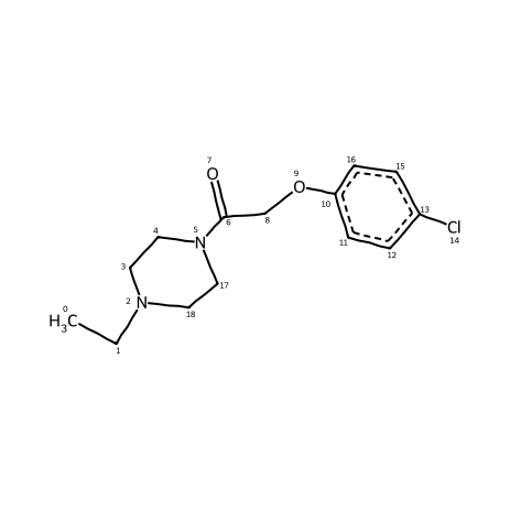 CCN1CCN(C(=O)COc2ccc(Cl)cc2)CC1